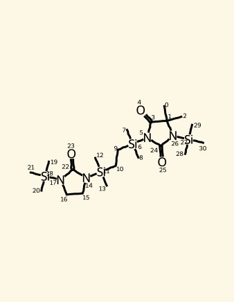 CC1(C)C(=O)N([Si](C)(C)CC[Si](C)(C)N2CCN([Si](C)(C)C)C2=O)C(=O)N1[Si](C)(C)C